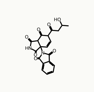 CC(O)CC(=O)C1C=CC2(N3C(=O)c4ccccc4C3=O)C(=O)NC(=O)C2C1=O